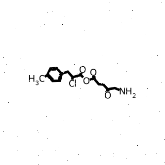 Cc1ccc(CC(Cl)C(=O)OC(=O)CCC(=O)CN)cc1